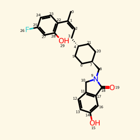 C/C(=C/C[C@H]1CC[C@H](CN2Cc3ccc(O)cc3C2=O)CC1)c1ccc(F)cc1O